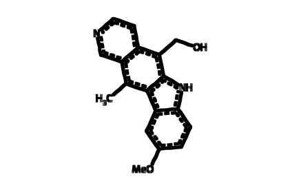 COc1ccc2[nH]c3c(CO)c4ccncc4c(C)c3c2c1